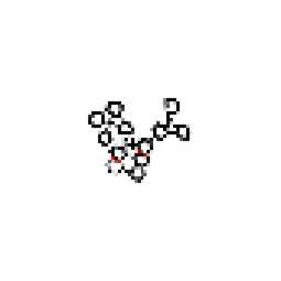 c1ccc(-n2c3ccccc3c3cc(-c4cccc(N(c5ccc6c(c5)C(c5ccccc5)(c5ccccc5)c5ccccc5-6)c5ccccc5-c5cccc6cccc(C7CCCCC7)c56)c4)ccc32)cc1